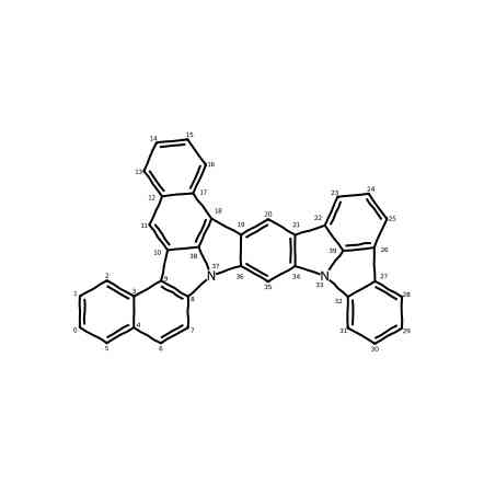 c1ccc2c(c1)ccc1c2c2cc3ccccc3c3c4cc5c6cccc7c8ccccc8n(c5cc4n1c23)c76